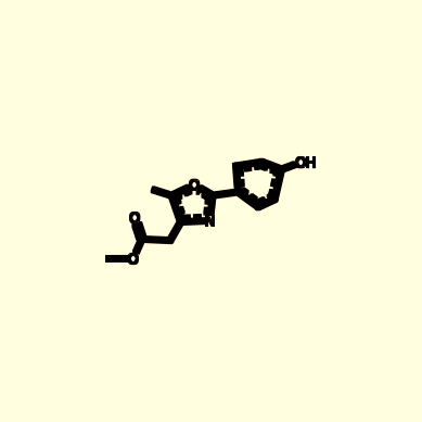 COC(=O)Cc1nc(-c2ccc(O)cc2)oc1C